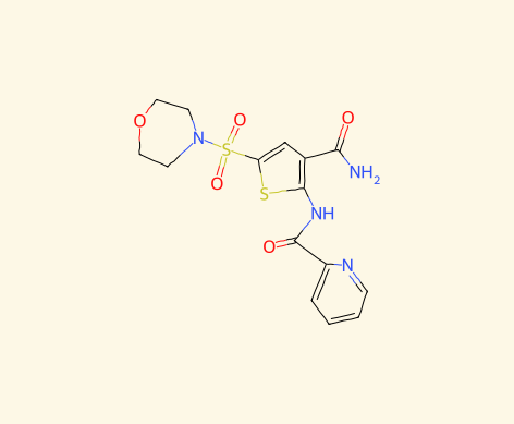 NC(=O)c1cc(S(=O)(=O)N2CCOCC2)sc1NC(=O)c1ccccn1